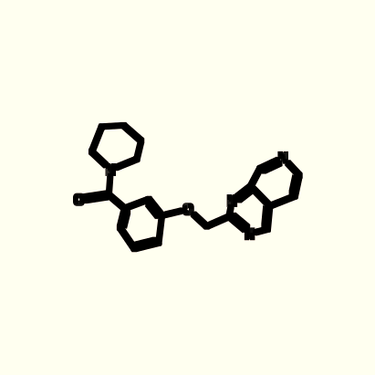 O=C(c1cccc(OCc2ncc3ccncc3n2)c1)N1CCCCC1